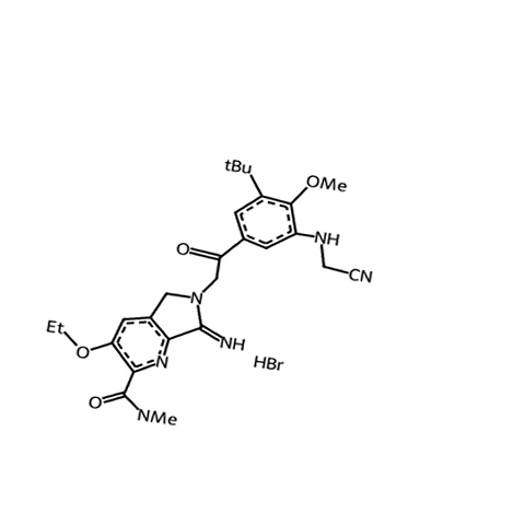 Br.CCOc1cc2c(nc1C(=O)NC)C(=N)N(CC(=O)c1cc(NCC#N)c(OC)c(C(C)(C)C)c1)C2